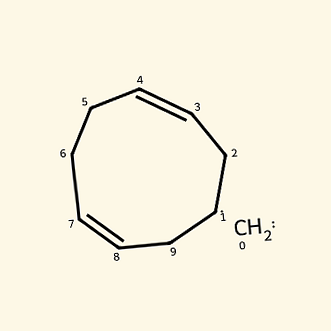 [CH2].[CH]1CC=CCCC=CC1